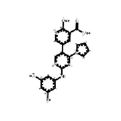 COC(=O)c1cc(-c2cnc(Nc3cc(C)cc(C#N)c3)nc2-n2cccc2)cnc1OC